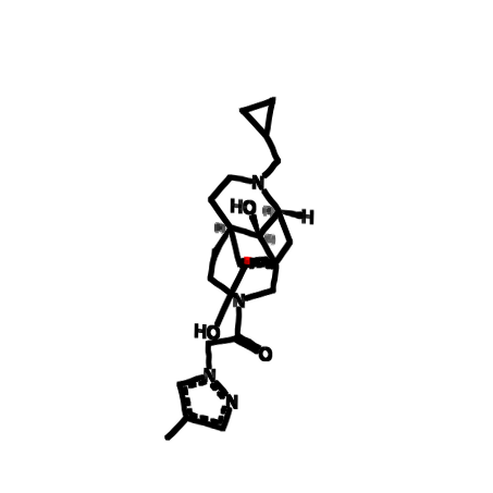 Cc1cnn(CC(=O)N2CC[C@]34CCN(CC5CC5)[C@H](Cc5ccc(O)cc53)[C@]4(O)CC2)c1